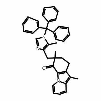 Cc1c2c(n3ccccc13)C(=O)C(C)(Cc1ncn(C(c3ccccc3)(c3ccccc3)c3ccccc3)c1C)CC2